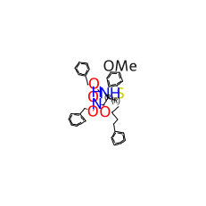 COc1ccc(S[C@H](CCCCc2ccccc2)[C@H](NC(=O)OCc2ccccc2)C(=O)NOCc2ccccc2)cc1